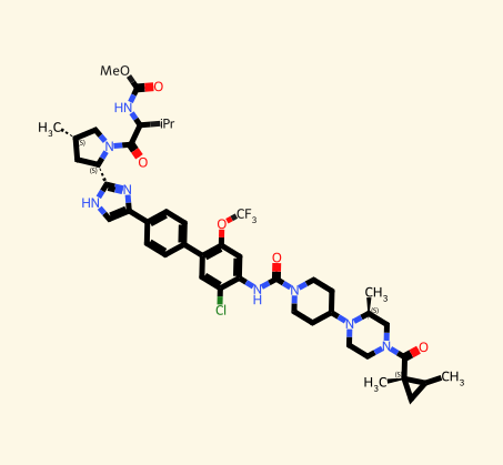 COC(=O)NC(C(=O)N1C[C@@H](C)C[C@H]1c1nc(-c2ccc(-c3cc(Cl)c(NC(=O)N4CCC(N5CCN(C(=O)[C@@]6(C)CC6C)C[C@@H]5C)CC4)cc3OC(F)(F)F)cc2)c[nH]1)C(C)C